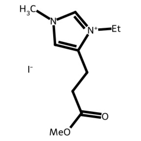 CC[n+]1cn(C)cc1CCC(=O)OC.[I-]